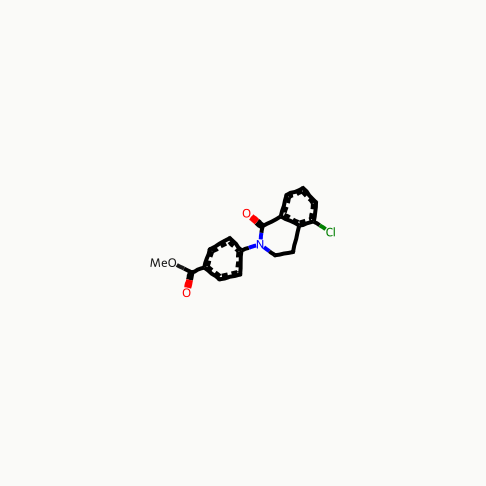 COC(=O)c1ccc(N2CCc3c(Cl)cccc3C2=O)cc1